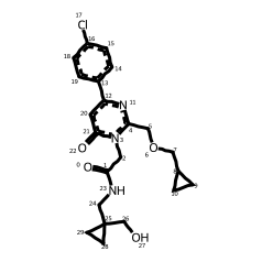 O=C(Cn1c(COCC2CC2)nc(-c2ccc(Cl)cc2)cc1=O)NCC1(CO)CC1